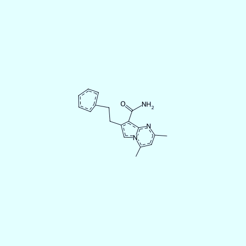 Cc1cc(C)n2cc(CCc3ccccc3)c(C(N)=O)c2n1